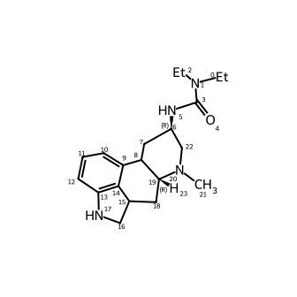 CCN(CC)C(=O)N[C@@H]1CC2c3cccc4c3C(CN4)C[C@H]2N(C)C1